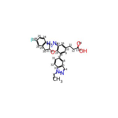 CCn1ncc2cc(-c3cc(CCC(=O)O)cc(N)c3OC3Cc4ccc(F)cc4C3)ccc21